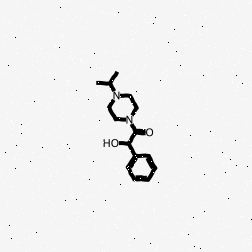 CC(C)N1CCN(C(=O)C(O)c2ccccc2)CC1